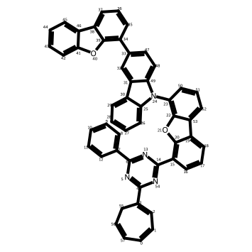 C1=CC=C(c2nc(-c3ccccc3)nc(-c3cccc4c3oc3c(-n5c6ccccc6c6cc(-c7cccc8c7oc7ccccc78)ccc65)cccc34)n2)CC=C1